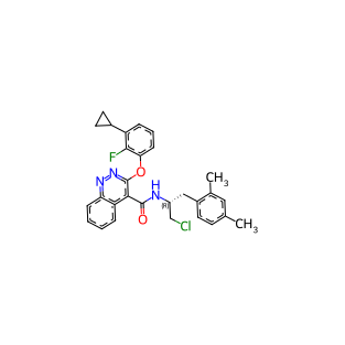 Cc1ccc(C[C@H](CCl)NC(=O)c2c(Oc3cccc(C4CC4)c3F)nnc3ccccc23)c(C)c1